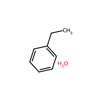 CCc1cc[c]cc1.O